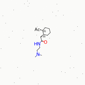 CC(=O)[C@H]1CCCC[C@H]1CC(=O)NCCN(C)C